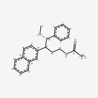 CO[C@H](c1ccccc1)C(CCOC(N)=O)c1ccc2ccccc2c1